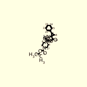 CC(C)OC(=O)N1CCN(S(=O)(=O)NC2(C(=O)O)CC2c2ccccc2)CC1